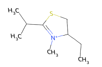 CCC1CSC(C(C)C)=[N+]1C